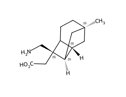 C[C@]12CCC3[C@H](C1)[C@H](C2)[C@]3(CN)CC(=O)O